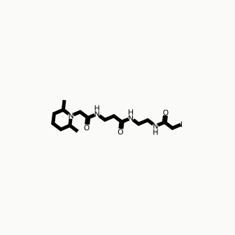 CC1CCCC(C)N1CC(=O)NCCC(=O)NCCNC(=O)CI